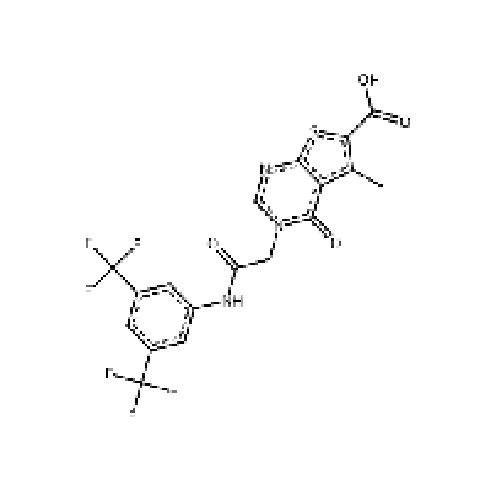 Cc1c(C(=O)O)sc2ncn(CC(=O)Nc3cc(C(F)(F)F)cc(C(F)(F)F)c3)c(=O)c12